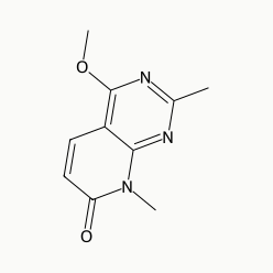 COc1nc(C)nc2c1ccc(=O)n2C